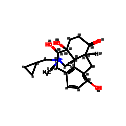 C[N@+]1(CC2CC2)CC[C@]23c4c5ccc(O)c4C[C@H]2C(=O)CC[C@@]3(O)[C@@]1(O)C5